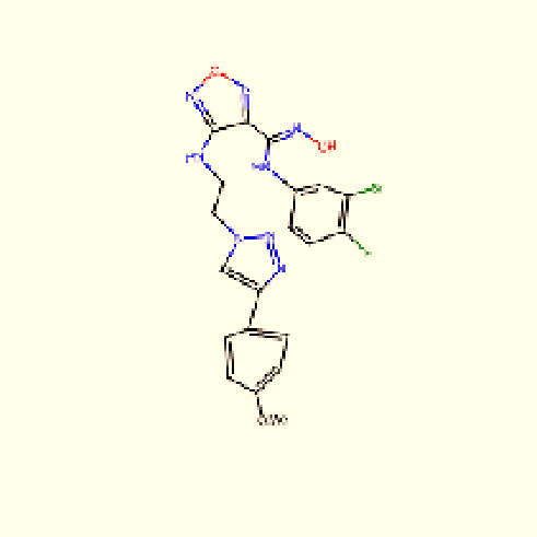 COc1ccc(-c2cn(CCNc3nonc3C(=NO)Nc3ccc(F)c(Br)c3)nn2)cc1